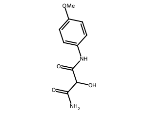 COc1ccc(NC(=O)C(O)C(N)=O)cc1